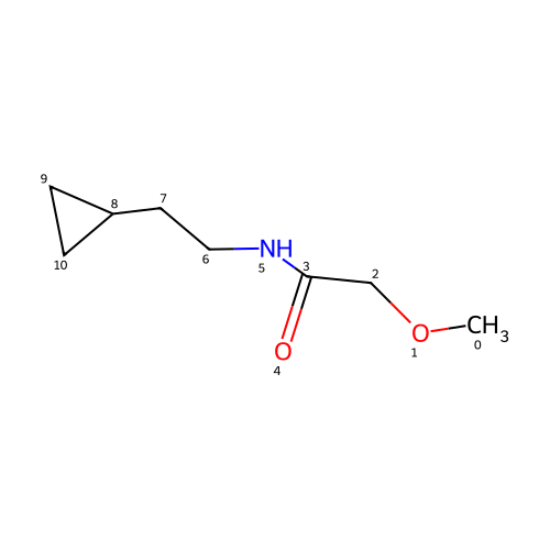 COCC(=O)NCCC1CC1